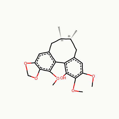 COc1cc2c(c(O)c1OC)-c1c(cc3c(c1OC)OCO3)C[C@H](C)[C@H](C)C2